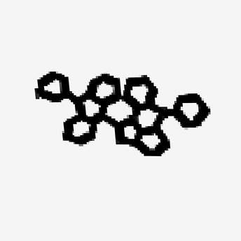 c1ccc(N2c3ccccc3-n3c(-c4c5ccccc5c(-c5cccnc5)c5ccccc45)nc4cccc2c43)cc1